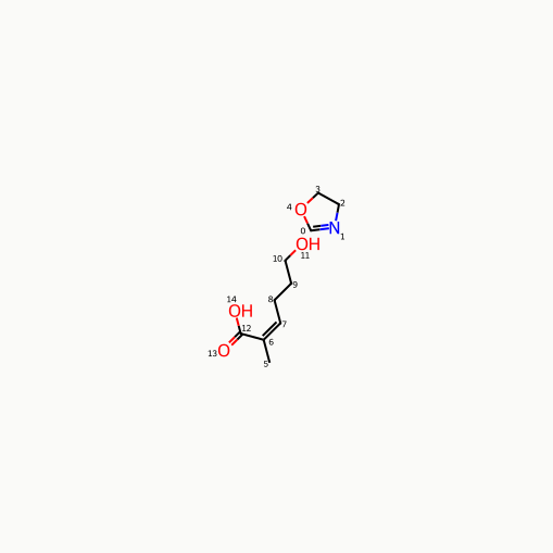 C1=NCCO1.CC(=CCCCO)C(=O)O